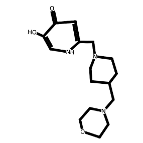 O=c1cc(CN2CCC(CN3CCOCC3)CC2)[nH]cc1O